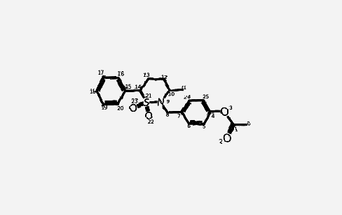 CC(=O)Oc1ccc(CN2C(C)CCC(c3ccccc3)S2(=O)=O)cc1